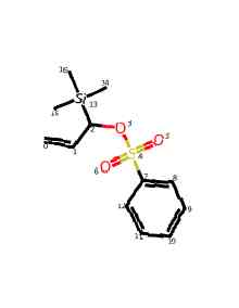 C=CC(OS(=O)(=O)c1ccccc1)[Si](C)(C)C